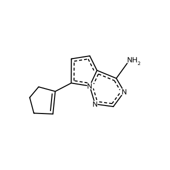 Nc1ncnn2c(C3=CCCC3)ccc12